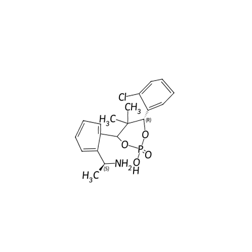 C[C@H](N)c1ccccc1C1OP(=O)(O)O[C@@H](c2ccccc2Cl)C1(C)C